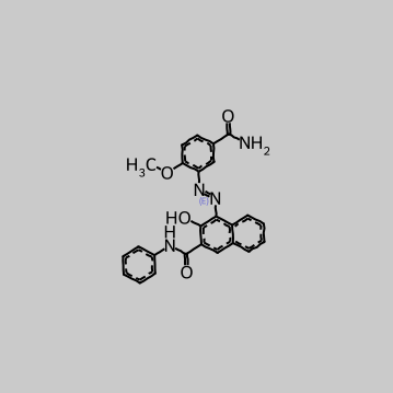 COc1ccc(C(N)=O)cc1/N=N/c1c(O)c(C(=O)Nc2ccccc2)cc2ccccc12